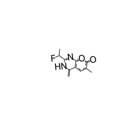 C=C1NC(C(C)F)=Nc2oc(=O)c(C)cc21